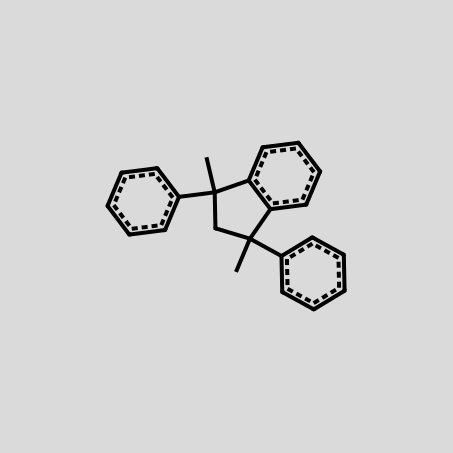 CC1(c2ccccc2)CC(C)(c2ccccc2)c2ccccc21